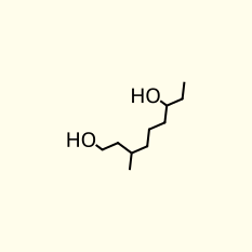 CCC(O)CCCC(C)CCO